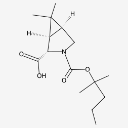 CCCC(C)(C)OC(=O)N1C[C@H]2[C@@H]([C@H]1C(=O)O)C2(C)C